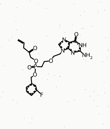 C=CCC(=O)COP(=O)(CCOCCn1cnc2c(=O)[nH]c(N)nc21)OCc1cccc(F)c1